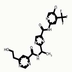 CC(NC(=O)c1cc(CCO)ncn1)c1ncc(C(=O)Nc2cc(C(F)(F)F)c(Cl)cn2)s1